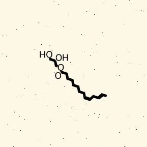 CC=CC/C=C\CCCCCCCC(=O)OCC(O)CO